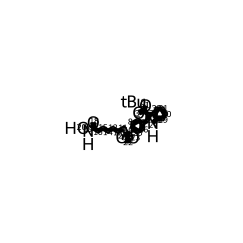 CC(C)(C)OC(=O)c1c(-c2ccc(N(CCCCCCC(=O)NO)S(C)(=O)=O)cc2)[nH]c2ccccc12